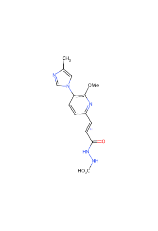 COc1nc(/C=C/C(=O)NNC(=O)O)ccc1-n1cnc(C)c1